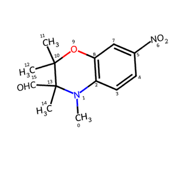 CN1c2ccc([N+](=O)[O-])cc2OC(C)(C)C1(C)C=O